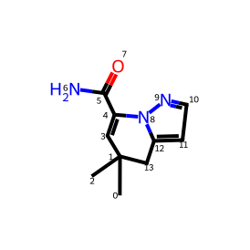 CC1(C)C=C(C(N)=O)n2nccc2C1